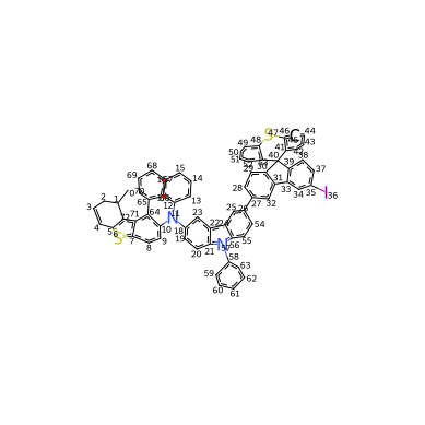 CC1CC=Cc2sc3ccc(N(c4ccccc4)c4ccc5c(c4)c4cc(-c6ccc7c(c6)-c6cc(I)ccc6C76c7ccccc7Sc7ccccc76)ccc4n5-c4ccccc4)c(-c4ccccc4)c3c21